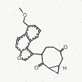 COCc1cccc2c1ccc1occ(C3CCC(=O)C[C@H]4CC4C3=O)c12